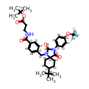 CC(C)(C)OC(=O)CCNC(=O)c1ccc(CN2C(=O)N(c3ccc(OC(F)(F)F)cc3)C(=O)C23CCC(C(C)(C)C)CC3)cc1